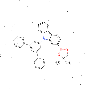 CC1(C)COB(c2ccc3c4ccccc4n(-c4cc(-c5ccccc5)cc(-c5ccccc5)c4)c3c2)O1